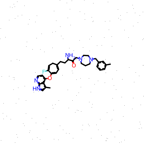 Cc1cccc(CN2CCCN(CC(=O)C(N)CCC3=CC=C(Oc4ccnc5[nH]cc(C)c45)C(F)=CC3)CC2)c1